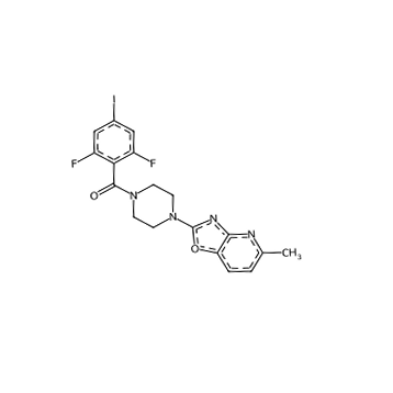 Cc1ccc2oc(N3CCN(C(=O)c4c(F)cc(I)cc4F)CC3)nc2n1